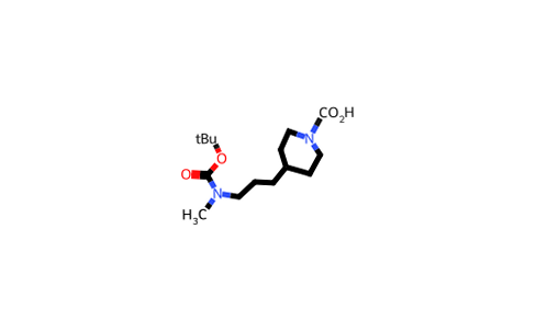 CN(CCCC1CCN(C(=O)O)CC1)C(=O)OC(C)(C)C